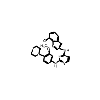 COc1cc(Nc2nccc(Nc3cnc4c(Cl)cccc4c3)n2)ccc1N1CCOCC1